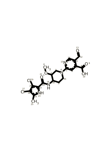 COC1CN(c2cc(C(=O)O)c(C=O)cn2)CCC1NC(=O)c1[nH]c(C)c(Cl)c1Cl